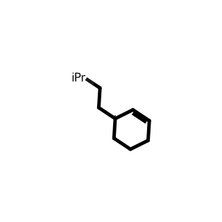 CC(C)CC[C]1C=CCCC1